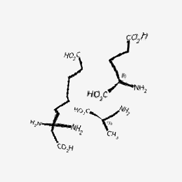 C[C@H](N)C(=O)O.NC(N)(CCCCC(=O)O)C(=O)O.N[C@H](CCC(=O)O)C(=O)O